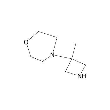 CC1(N2CCOCC2)CNC1